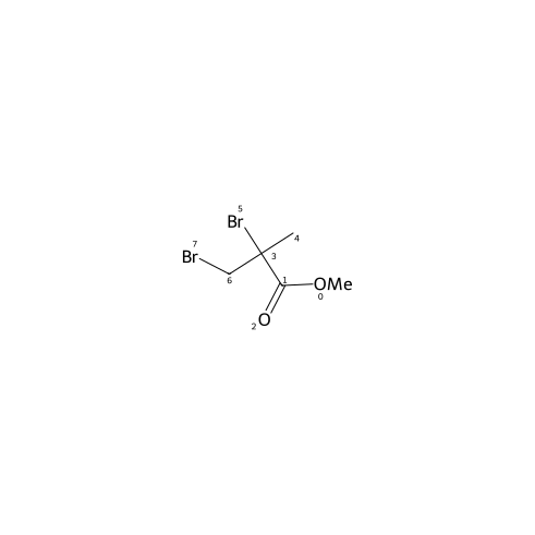 COC(=O)C(C)(Br)CBr